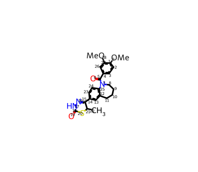 COc1ccc(C(=O)N2CCCCc3cc(C4=NNC(=O)SC4C)ccc32)cc1OC